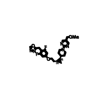 COCc1cnc(N2CCC([C@H]3C[C@H]3CCOc3cc(F)c(Cc4nnco4)c(F)c3)CC2)nc1